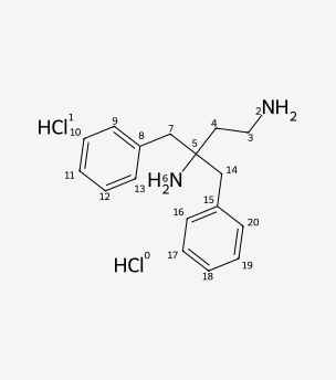 Cl.Cl.NCCC(N)(Cc1ccccc1)Cc1ccccc1